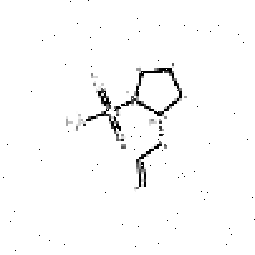 C=CC[C@H]1CCCN1S(N)(=O)=O